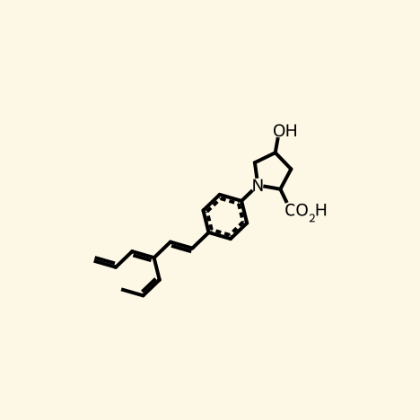 C=C/C=C(\C=C/C)/C=C/c1ccc(N2CC(O)CC2C(=O)O)cc1